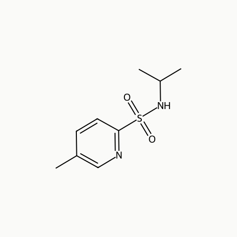 Cc1ccc(S(=O)(=O)NC(C)C)nc1